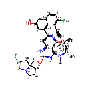 CC(C)[C@H]1COc2nc(-c3cc(O)cc4ccc(F)c(C#C[Si](C(C)C)(C(C)C)C(C)C)c34)cc3nc(OC[C@@]45CCCN4C[C@H](F)C5)nc(c23)N1C